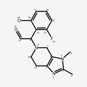 Cc1nc2c(n1C)CN(C(C=O)c1c(F)cccc1Cl)CC2